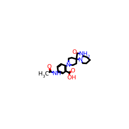 CC(=O)Nc1ccc(N2CCC(C(N)=O)(N3CCCCC3)CC2)c(C(=O)O)c1